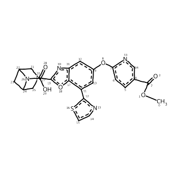 COC(=O)c1ccc(Oc2cc(-c3nccs3)c3oc(N4CC5CC(C4)N5C(=O)O)nc3c2)nc1